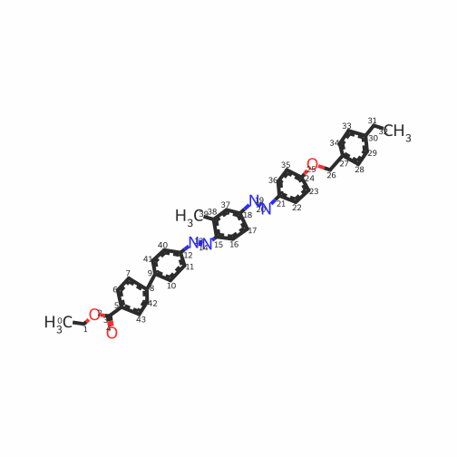 CCOC(=O)c1ccc(-c2ccc(N=Nc3ccc(N=Nc4ccc(OCc5ccc(CC)cc5)cc4)cc3C)cc2)cc1